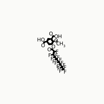 COc1c(OC(=O)C(F)=C(F)C(F)(F)C(F)(F)C(F)(F)C(F)(F)C(F)(F)C(F)(F)F)cc(C(=O)O)cc1C(=O)O